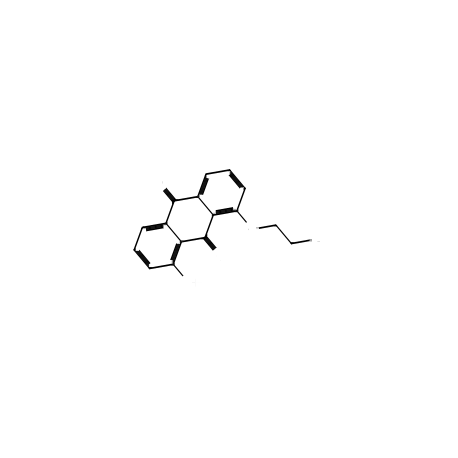 O=C1c2cccc(O)c2C(=O)c2c(OCCBr)cccc21